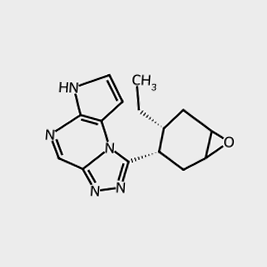 CC[C@@H]1CC2OC2C[C@@H]1c1nnc2cnc3[nH]ccc3n12